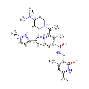 Cc1cc(C)c(CNC(=O)c2cc3cc(-c4ccn(C)n4)cn3c(C(C)N3CCC(N(C)C)CC3)c2C)c(=O)[nH]1